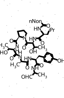 CCCCCCCCCC(=O)N[C@@H](CC(C)C)C(=O)N[C@H](C(=O)N1CCC[C@@H]1C(=O)N[C@H](C(=O)N[C@@H](C)C(=O)N[C@@H](Cc1ccc(O)cc1)C(=O)NC(C)C=O)[C@@H](C)O)C(C)O